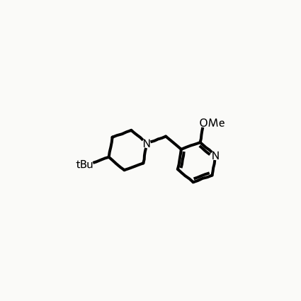 COc1ncccc1CN1CCC(C(C)(C)C)CC1